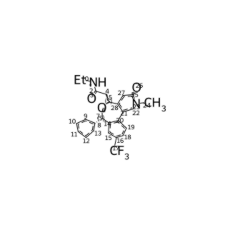 CCNC(=O)C[C@@H]1O[C@@H](c2ccccc2)c2cc(C(F)(F)F)ccc2-c2cn(C)c(=O)cc21